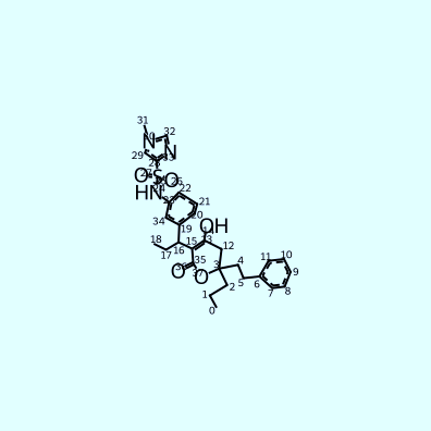 CCCC1(CCc2ccccc2)CC(O)=C(C(CC)c2cccc(NS(=O)(=O)c3cn(C)cn3)c2)C(=O)O1